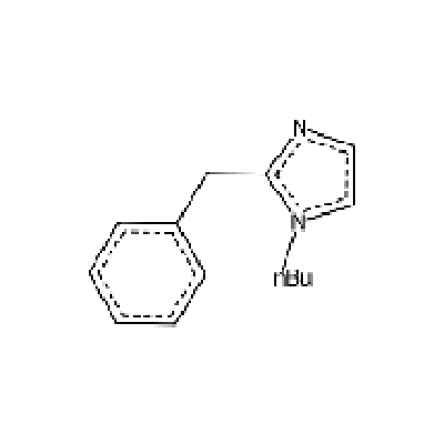 CCCCn1ccnc1Cc1ccccc1